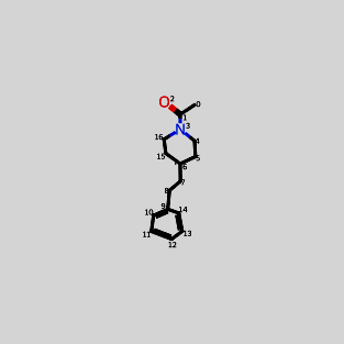 CC(=O)N1CC[C](CCc2ccccc2)CC1